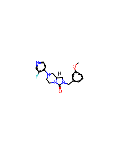 COc1cccc(CN2C[C@@H]3CN(c4ccncc4F)CCN3C2=O)c1